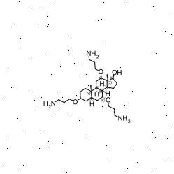 C[C@]12CCC(OCCCN)C[C@H]1C[C@@H](OCCCN)[C@@H]1[C@@H]2C[C@H](OCCCN)[C@]2(C)[C@@H](O)CC[C@@H]12